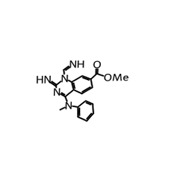 COC(=O)c1ccc2c(N(C)c3ccccc3)nc(=N)n(C=N)c2c1